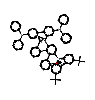 CC(C)(C)c1ccc2c(c1)c1cc(C(C)(C)C)ccc1n2-c1ccc(Nc2cc(N(c3ccccc3)c3ccccc3)ccc2-c2ccc(N(c3ccccc3)c3ccccc3)cc2)c(-c2ccccc2C2=CC2)c1-c1ccccc1C#N